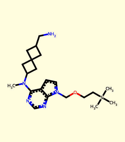 CN(c1ncnc2c1ccn2COCC[Si](C)(C)C)C1CC2(CC(CN)C2)C1